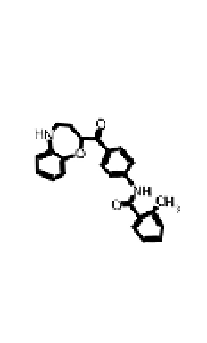 Cc1ccccc1C(=O)Nc1ccc(C(=O)C2CCNc3ccccc3O2)cc1